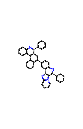 c1ccc(-c2nc3ccccc3c3c2cc(-c2ccc4nc(-c5ccccc5)c5c(nc6ccccn65)c4c2)c2ccccc23)cc1